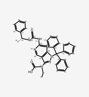 CCN(C(=O)O)c1nn(C(c2ccccc2)(c2ccccc2)c2ccccc2)c2cc(NC(=O)N[C@H](C)c3ccccc3)ncc12